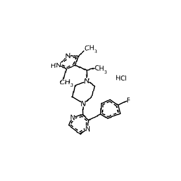 Cc1n[nH]c(C)c1C(C)N1CCN(c2nccnc2-c2ccc(F)cc2)CC1.Cl